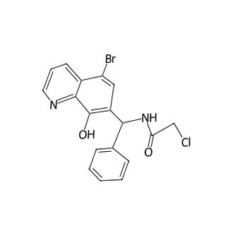 O=C(CCl)NC(c1ccccc1)c1cc(Br)c2cccnc2c1O